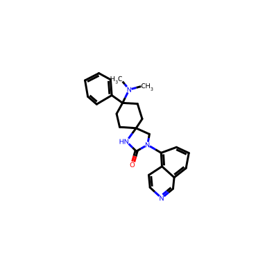 CN(C)C1(c2ccccc2)CCC2(CC1)CN(c1cccc3cnccc13)C(=O)N2